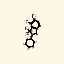 Fc1ccc2c(c1F)C(F)(F)C(C1CCCCC1)C2